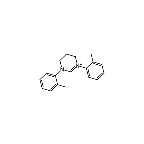 Cc1ccccc1N1C=[N+](c2ccccc2C)CCC1